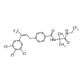 CC(C)(NC(=O)c1ccc(CC=C(c2cc(Cl)c(Cl)c(Cl)c2)C(F)(F)F)cc1)C(=O)NCC(F)(F)F